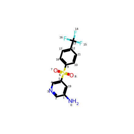 Nc1[c]ncc(S(=O)(=O)c2ccc(C(F)(F)F)cc2)c1